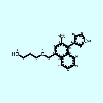 CCc1cc(COCCCO)c2ccccc2c1-c1ccoc1